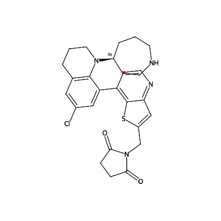 O=C1CCC(=O)N1Cc1cc2nccc(-c3cc(Cl)cc4c3N([C@H]3CCCNCC3)CCC4)c2s1